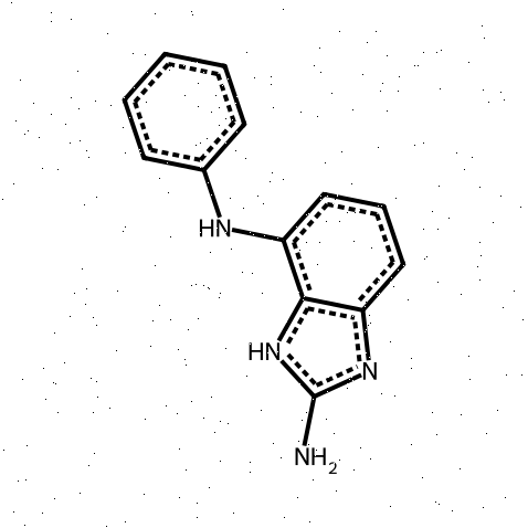 Nc1nc2cccc(Nc3ccccc3)c2[nH]1